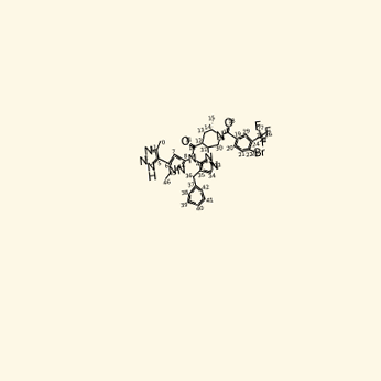 Cc1nn[nH]c1-c1cc(N2C(=O)C3C[C@H](C)N(C(=O)c4ccc(Br)c(C(F)(F)F)c4)CC3n3ncc(Cc4ccccc4)c32)nn1C